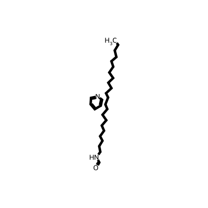 CCCCCCCCCCCCCCCCCCCCCCNC=O.c1ccncc1